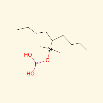 CCCCC(CCCC)[Si](C)(C)OP(O)O